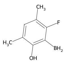 Bc1c(O)c(C)cc(C)c1F